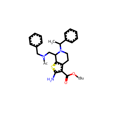 CC(=O)N(Cc1ccccc1)CC1c2sc(N)c(C(=O)OC(C)(C)C)c2CCN1C(C)c1ccccc1